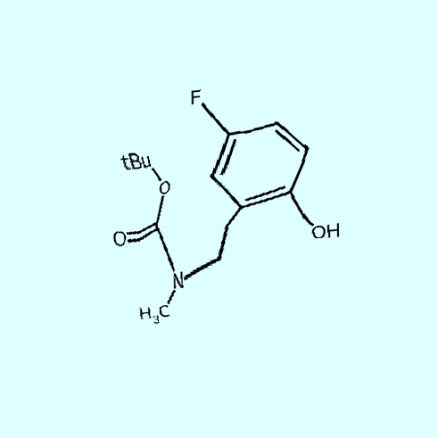 CN(Cc1cc(F)ccc1O)C(=O)OC(C)(C)C